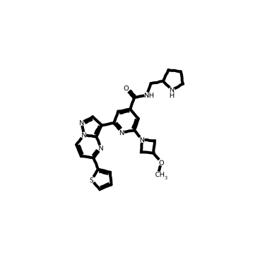 COC1CN(c2cc(C(=O)NCC3CCCN3)cc(-c3cnn4ccc(-c5cccs5)nc34)n2)C1